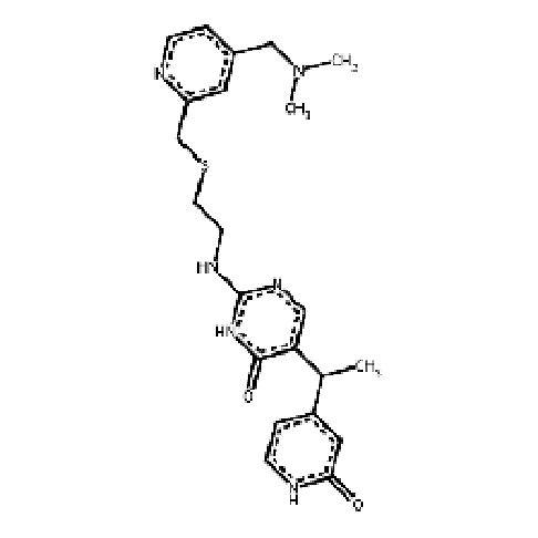 CC(c1cc[nH]c(=O)c1)c1cnc(NCCSCc2cc(CN(C)C)ccn2)[nH]c1=O